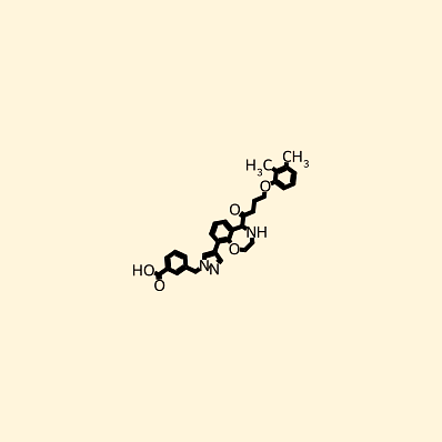 Cc1cccc(OCCCC(=O)C2NCCOc3c(-c4cnn(Cc5cccc(C(=O)O)c5)c4)cccc32)c1C